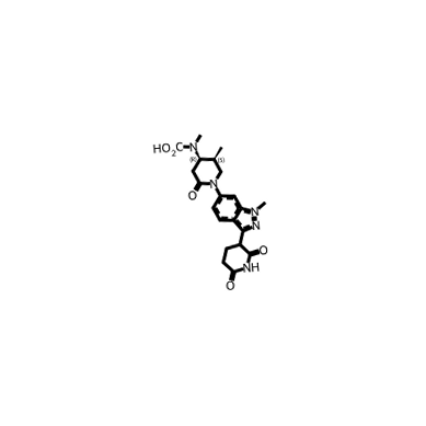 C[C@H]1CN(c2ccc3c(C4CCC(=O)NC4=O)nn(C)c3c2)C(=O)C[C@H]1N(C)C(=O)O